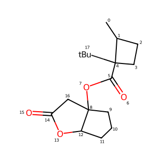 CC1CCC1(C(=O)OC12CCCC1OC(=O)C2)C(C)(C)C